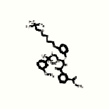 COC(=O)c1cccc(C(=O)N[C@@H](Cc2cccc(OCCCCNCC(C)(C)C)c2)[C@H](O)CNC(C)(C)c2cccc(OC)c2)c1